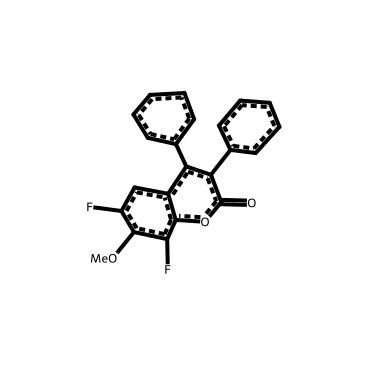 COc1c(F)cc2c(-c3ccccc3)c(-c3ccccc3)c(=O)oc2c1F